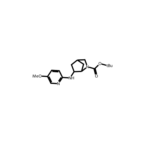 COc1ccc(NC2CC3CC2N(C(=O)OC(C)(C)C)C3)nc1